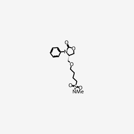 CNS(=O)(=O)CCCCOC[C@H]1COC(=O)N1c1ccccc1